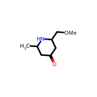 COCC1CC(=O)CC(C)N1